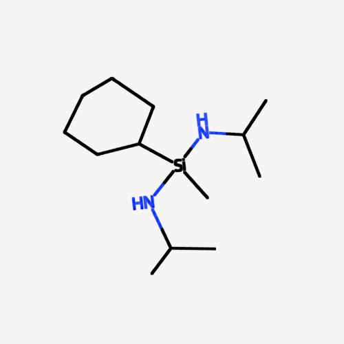 CC(C)N[Si](C)(NC(C)C)C1CCCCC1